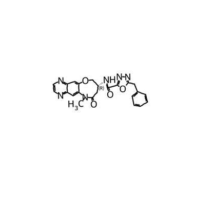 CN1C(=O)C[C@@H](NC(=O)c2nnc(Cc3ccccc3)o2)COc2cc3nccnc3cc21